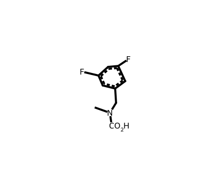 CN(Cc1cc(F)cc(F)c1)C(=O)O